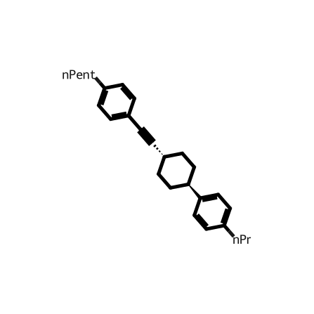 CCCCCc1ccc(C#C[C@H]2CC[C@H](c3ccc(CCC)cc3)CC2)cc1